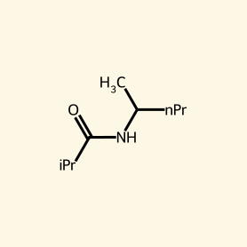 CCCC(C)NC(=O)C(C)C